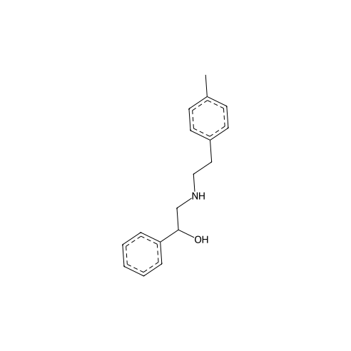 Cc1ccc(CCNCC(O)c2ccccc2)cc1